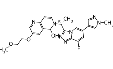 COCCOc1cnc2c(c1)C(O)N([C@H](C)c1nnc3c(F)cc(-c4cnn(C)c4)cn13)C=C2